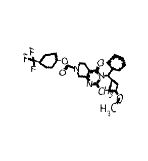 COC1CC(C(c2ccccc2)n2c(C)nc3c(c2=O)CCN(C(=O)O[C@H]2CC[C@H](C(F)(F)F)CC2)C3)C1